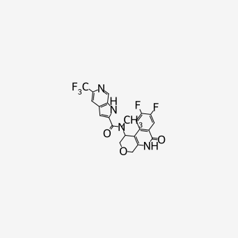 CN(C(=O)c1cc2cc(C(F)(F)F)ncc2[nH]1)C1COCc2[nH]c(=O)c3cc(F)c(F)cc3c21